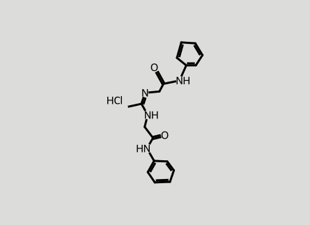 CC(=NCC(=O)Nc1ccccc1)NCC(=O)Nc1ccccc1.Cl